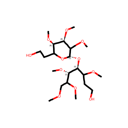 COCC(OC)[C@H](OC)[C@@H](O[C@@H]1OC(CCO)[C@@H](OC)[C@@H](OC)C1OC)C(CCO)OC